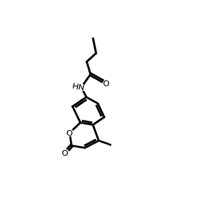 CCCC(=O)Nc1ccc2c(C)cc(=O)oc2c1